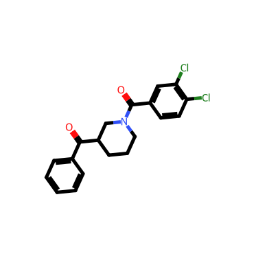 O=C(c1ccccc1)C1CCCN(C(=O)c2ccc(Cl)c(Cl)c2)C1